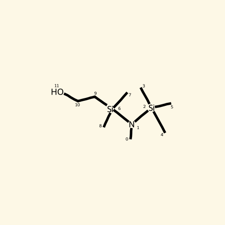 CN([Si](C)(C)C)[Si](C)(C)CCO